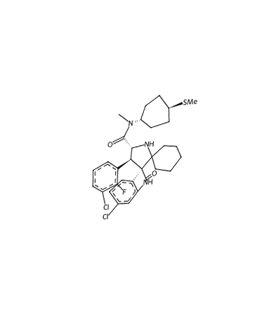 CS[C@H]1CC[C@H](N(C)C(=O)[C@@H]2NC3(CCCCC3)[C@@]3(C(=O)Nc4cc(Cl)ccc43)[C@H]2c2cccc(Cl)c2F)CC1